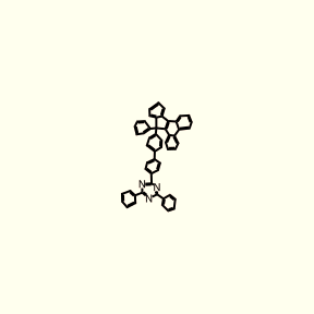 c1ccc(-c2nc(-c3ccccc3)nc(-c3ccc(-c4ccc(C5(c6ccccc6)c6ccccc6-c6c5c5ccccc5c5ccccc65)cc4)cc3)n2)cc1